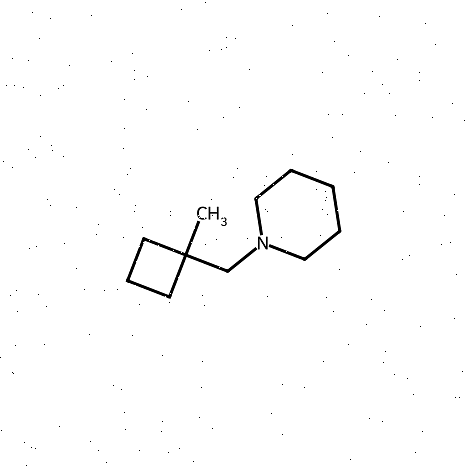 CC1(CN2CCCCC2)CCC1